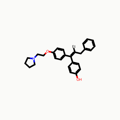 CCC(Cc1ccccc1)=C(c1ccc(O)cc1)c1ccc(OCCN2CCCC2)cc1